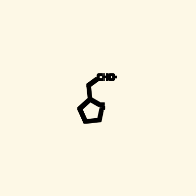 O=[C]CC1CCCS1